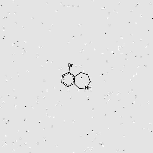 Brc1cccc2c1CCCNC2